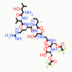 CC[C@H](C)[C@H](NC(=O)[C@@H](CCCNC(=N)N)NC(=O)[C@@H](NC(=O)[C@@H](N)[C@H](O)C(C)C)C(C)C)C(=O)N[C@H](C(=O)NCC(=O)N[C@@H](COC(=O)C(F)(F)F)C(=O)N[C@@H](COC(=O)C(F)(F)F)C(=O)O)[C@H](C)O